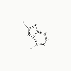 Cc1cc2c(C)cccn2c1